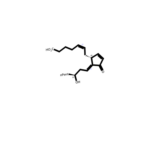 CCCCC[C@H](O)C/C=C1/C(=O)C=C[C@H]1C/C=C\CCCC(=O)O